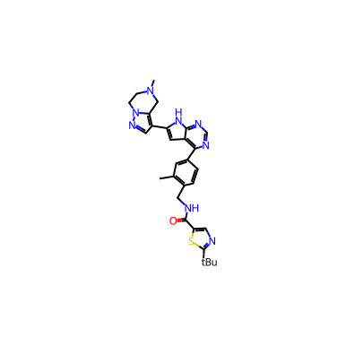 Cc1cc(-c2ncnc3[nH]c(-c4cnn5c4CN(C)CC5)cc23)ccc1CNC(=O)c1cnc(C(C)(C)C)s1